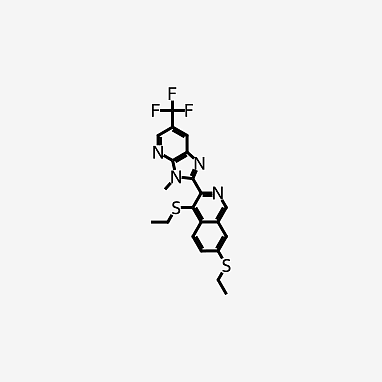 CCSc1ccc2c(SCC)c(-c3nc4cc(C(F)(F)F)cnc4n3C)ncc2c1